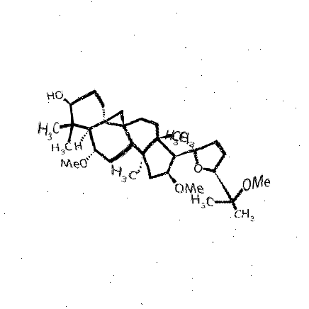 CO[C@H]1C[C@@]2(C)C3C[C@H](OC)[C@H]4C(C)(C)[C@@H](O)CC[C@@]45C[C@@]35CC[C@]2(C)[C@H]1[C@@]1(C)CC[C@@H](C(C)(C)OC)O1